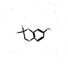 Nc1ccc2c(c1)OC(F)(F)CO2